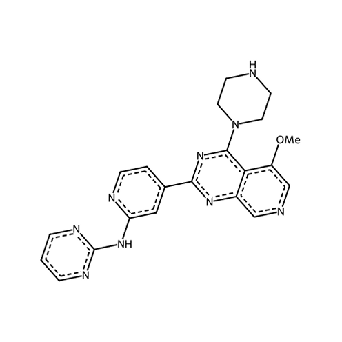 COc1cncc2nc(-c3ccnc(Nc4ncccn4)c3)nc(N3CCNCC3)c12